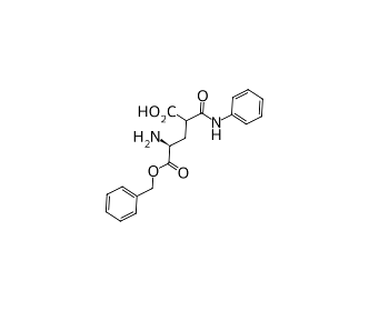 N[C@@H](CC(C(=O)O)C(=O)Nc1ccccc1)C(=O)OCc1ccccc1